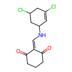 O=C1CCCC(=O)C1=CNC1C=C(Cl)CC(Cl)C1